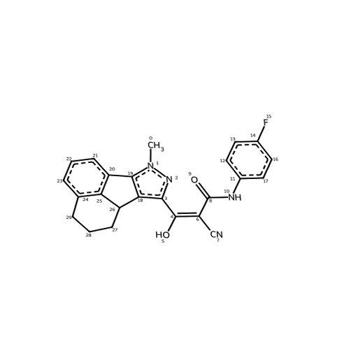 Cn1nc(C(O)=C(C#N)C(=O)Nc2ccc(F)cc2)c2c1-c1cccc3c1C2CCC3